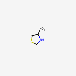 O=[N+]([O-])C1[CH]SCN1